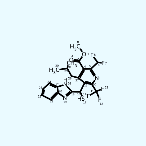 COC(=O)c1c(C(F)F)nc(C(F)(F)F)c(C(S)c2nc3ccccc3[nH]2)c1CC(C)C